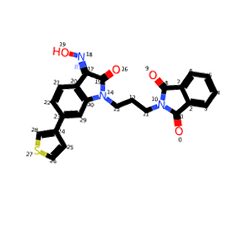 O=C1c2ccccc2C(=O)N1CCCN1C(=O)/C(=N/O)c2ccc(-c3ccsc3)cc21